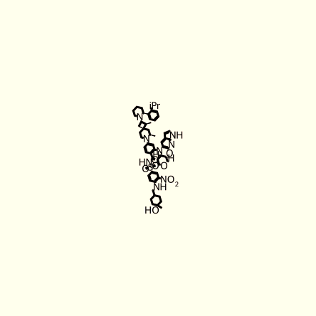 CC(C)c1ccccc1[C@@H]1CCCCN1[C@H]1C[C@@]2(CCN(c3ccc(C(=O)NS(=O)(=O)c4ccc(NCC5CCC(C)(O)CC5)c([N+](=O)[O-])c4)c(N4c5cc6cc[nH]c6nc5O[C@H]5COCC[C@@H]54)c3)[C@H](C)C2)[C@@H]1C